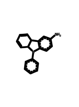 Nc1ccc2c(c1)C1C=CC=CC1N2c1ccccc1